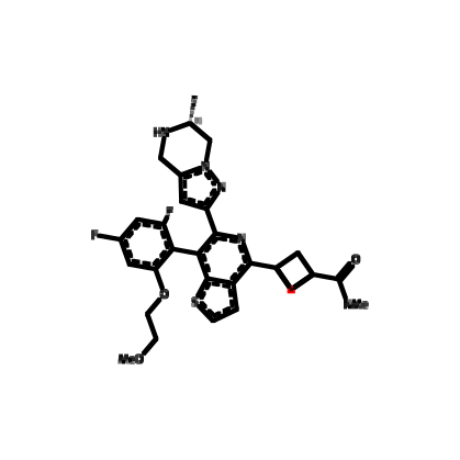 CNC(=O)C12CC(c3nc(-c4cc5n(n4)C[C@@H](C)NC5)c(-c4c(F)cc(F)cc4OCCOC)c4sccc34)(C1)C2